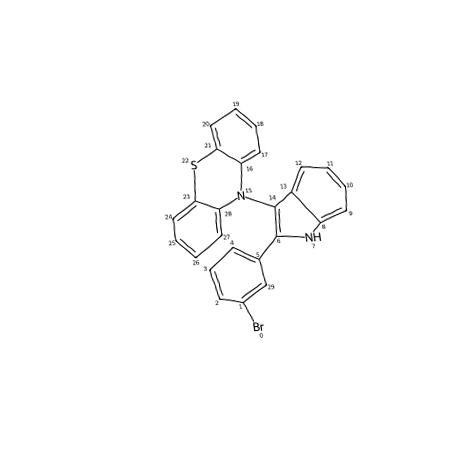 Brc1cccc(-c2[nH]c3ccccc3c2N2c3ccccc3Sc3ccccc32)c1